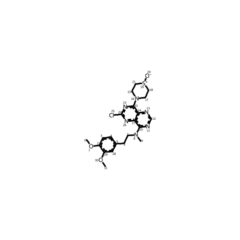 COc1ccc(CCN(C)c2ncnc3c(N4CC[S+]([O-])CC4)nc(Cl)nc23)cc1OC